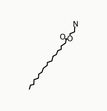 CCCCCCCCCCCCCCCCCC(=O)OCCC#N